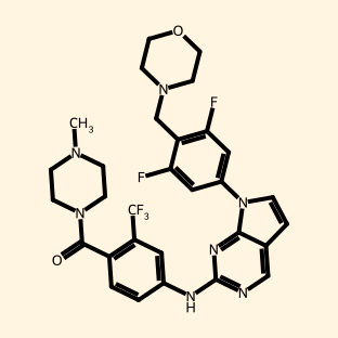 CN1CCN(C(=O)c2ccc(Nc3ncc4ccn(-c5cc(F)c(CN6CCOCC6)c(F)c5)c4n3)cc2C(F)(F)F)CC1